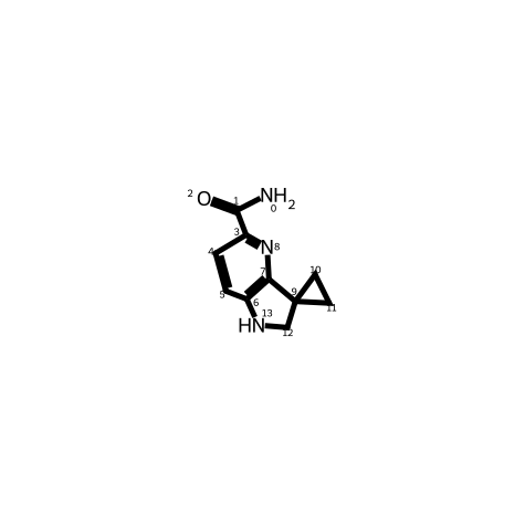 NC(=O)c1ccc2c(n1)C1(CC1)CN2